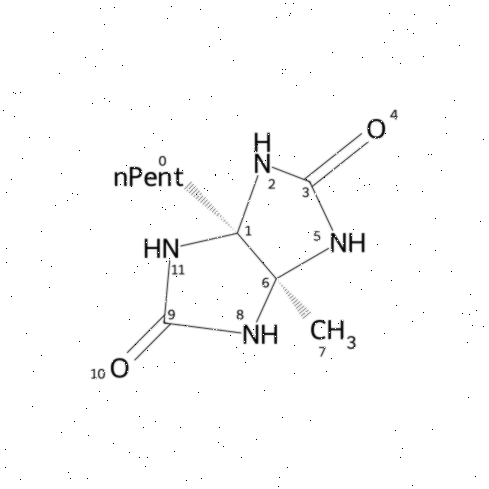 CCCCC[C@]12NC(=O)N[C@@]1(C)NC(=O)N2